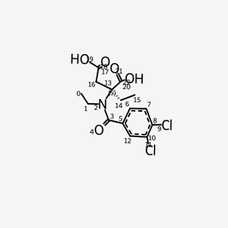 CCN(C(=O)c1ccc(Cl)c(Cl)c1)[C@@](CC)(CC(=O)O)C(=O)O